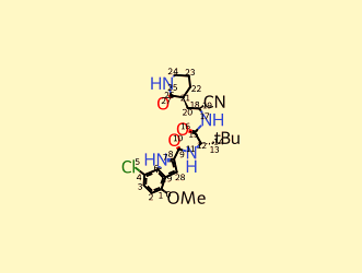 COc1ccc(Cl)c2[nH]c(C(=O)N[C@@H](CC(C)(C)C)C(=O)N[C@H](C#N)C[C@@H]3CCCNC3=O)cc12